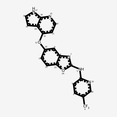 FC(F)(F)c1ccc(Nc2nc3cc(Oc4ccnc5[nH]ccc45)ccc3o2)nc1